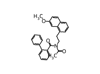 COc1ccc2cccc(CCN(C(C)=O)C(=O)c3ccccc3-c3ccccc3)c2c1